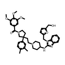 COc1cc(C(=O)N2CCC(CCN3CCC(Nc4nc5ccccc5n4Cc4ccc(CO)o4)CC3)(c3ccc(C)c(C)c3)C2)cc(OC)c1OC